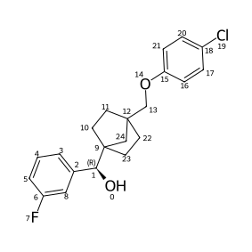 O[C@@H](c1cccc(F)c1)C12CCC(COc3ccc(Cl)cc3)(CC1)C2